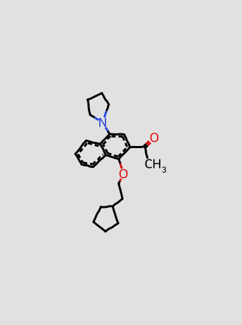 CC(=O)c1cc(N2CCCC2)c2ccccc2c1OCCC1CCCC1